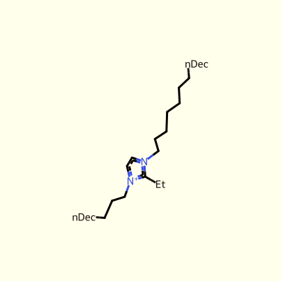 CCCCCCCCCCCCCCCCCn1cc[n+](CCCCCCCCCCCCC)c1CC